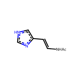 CC(=O)NC=Cc1c[nH]cn1